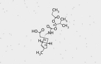 CCC(=O)O[C@H](OC(=O)NC[C@]1(CC(=O)O)C[C@@H]2CC(C)=C[C@H]21)C(C)C